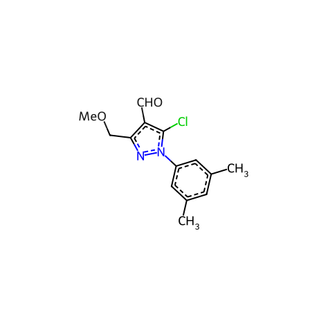 COCc1nn(-c2cc(C)cc(C)c2)c(Cl)c1C=O